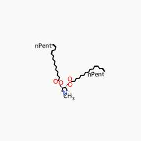 CCCCC/C=C\C/C=C\CCCCCCCCCC(=O)OC[C@@H]1CN(C)C[C@H]1COC(=O)CCCCCCCCC/C=C\C/C=C\CCCCC